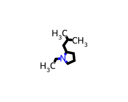 CCN1CCCC1CC(C)C